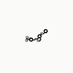 O=[N+]([O-])c1ccc(/C=C/C2=NCCc3cc(OCc4ccccc4)ccc32)cc1